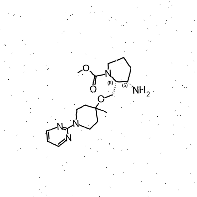 COC(=O)N1CCC[C@H](N)[C@@H]1COC1(C)CCN(c2ncccn2)CC1